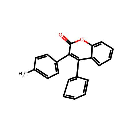 Cc1ccc(-c2c(-c3ccccc3)c3ccccc3oc2=O)cc1